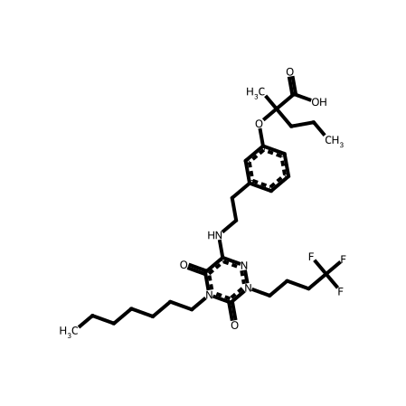 CCCCCCCn1c(=O)c(NCCc2cccc(OC(C)(CCC)C(=O)O)c2)nn(CCCC(F)(F)F)c1=O